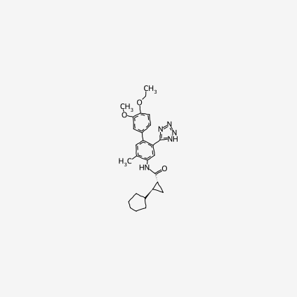 CCOc1ccc(-c2cc(C)c(NC(=O)[C@@H]3C[C@H]3C3CCCCC3)cc2-c2nnn[nH]2)cc1OC